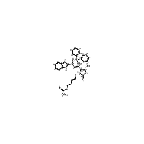 COC(=O)CCCC=CC[C@H]1C(=O)C[C@@H](O)[C@@H]1C=CC(O[Si](c1ccccc1)(c1ccccc1)C(C)(C)C)c1nc2ccccc2s1